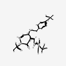 CC(C)(C)c1ccc(CSC2C=NN(C(C)(C)C)C(=O)C2CO[Si](C)(C)C(C)(C)C)cc1